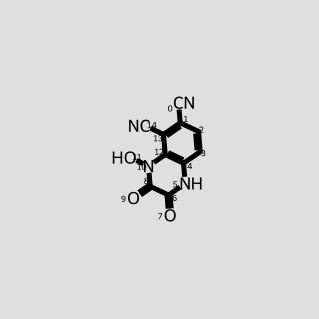 N#Cc1ccc2[nH]c(=O)c(=O)n(O)c2c1C#N